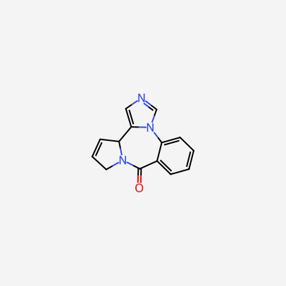 O=C1c2ccccc2-n2cncc2C2C=CCN12